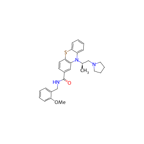 COc1ccccc1CNC(=O)c1ccc2c(c1)N([C@H](C)CN1CCCC1)c1ccccc1S2